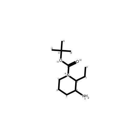 CCC1C(N)CCCN1C(=O)OC(C)(C)C